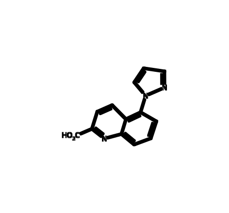 O=C(O)c1ccc2c(-n3cccn3)cccc2n1